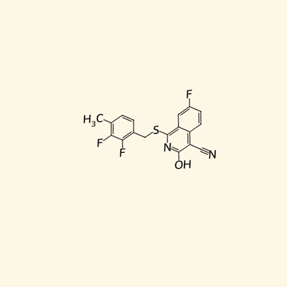 Cc1ccc(CSc2nc(O)c(C#N)c3ccc(F)cc23)c(F)c1F